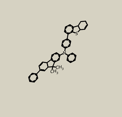 CC1(C)c2cc(N(c3ccccc3)c3ccc(-c4cccc5c4SC4C=CCCC54)cc3)ccc2C2C=CC(c3ccccc3)=CC21